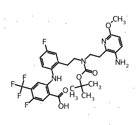 COc1ccc(N)c(CCN(CCc2cc(F)ccc2Nc2cc(C(F)(F)F)c(F)cc2C(=O)O)C(=O)OC(C)(C)C)n1